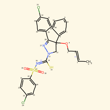 C/C=C/COC1(c2ccccc2)CN(/C(S)=N/S(=O)(=O)c2ccc(Cl)cc2)N=C1c1ccc(Cl)cc1